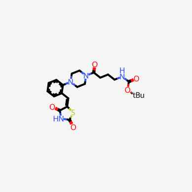 CC(C)(C)OC(=O)NCCCC(=O)N1CCN(c2ccccc2C=C2SC(=O)NC2=O)CC1